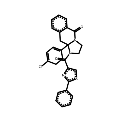 O=C(c1csc(-c2ccccc2)n1)N1CCN2C(=O)c3ccccc3CC12C1=CC=C(Cl)CC1